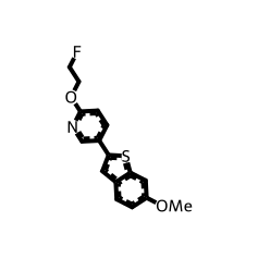 COc1ccc2cc(-c3ccc(OCCF)nc3)sc2c1